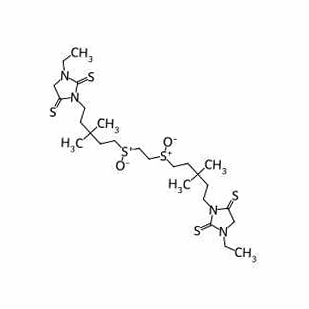 CCN1CC(=S)N(CCC(C)(C)CC[S+]([O-])CC[S+]([O-])CCC(C)(C)CCN2C(=S)CN(CC)C2=S)C1=S